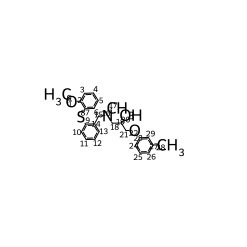 COc1ccccc1Sc1ccccc1CN(C)CC(O)COc1cccc(C)c1